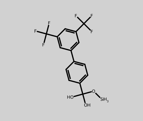 OC(O)(O[SiH3])c1ccc(-c2cc(C(F)(F)F)cc(C(F)(F)F)c2)cc1